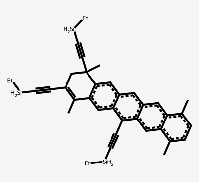 CC[SiH2]C#CC1=C(C)c2cc3c(C#C[SiH2]CC)c4cc5c(C)ccc(C)c5cc4cc3cc2C(C)(C#C[SiH2]CC)C1